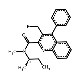 CC[C@@H](C)N(C)C(=O)c1nc2ccccc2c(-c2ccccc2)c1CF